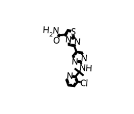 CC(C)(Nc1ncc(-c2cn3c(C(N)=O)csc3n2)cn1)c1ncccc1Cl